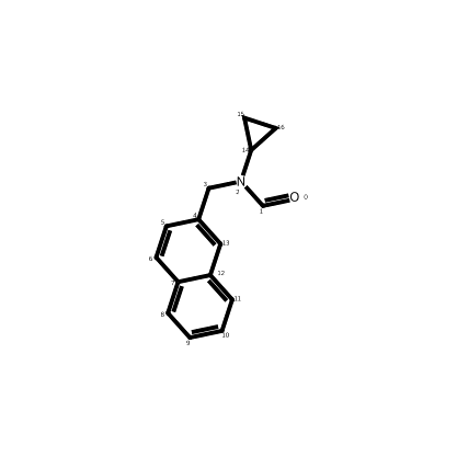 O=CN(Cc1ccc2ccccc2c1)C1CC1